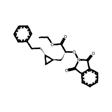 CCOC(=O)[C@@H](C[C@H]1C[C@@H]1CCc1ccccc1)ON1C(=O)c2ccccc2C1=O